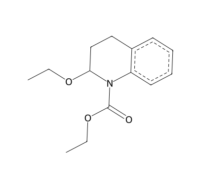 CCOC(=O)N1c2ccccc2CCC1OCC